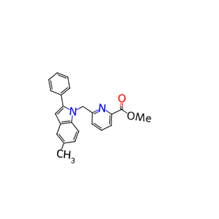 COC(=O)c1cccc(Cn2c(-c3ccccc3)cc3cc(C)ccc32)n1